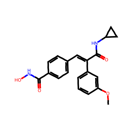 COc1cccc(/C(=C\c2ccc(C(=O)NO)cc2)C(=O)NC2CC2)c1